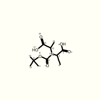 CC(C(=O)O)N(C(=O)OC(C)(C)C)C(C)C(=O)O